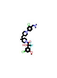 COc1cc(Cl)cc(C(O)(C(=O)N2CCC(C)(CC3CCN(c4ccc(CN(C)C)c(Cl)c4)CC3)CC2)C(F)(F)F)c1